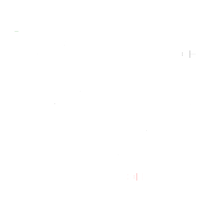 Cc1ccc2c(c1)C(c1ccc(F)cc1)CC2O